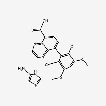 COc1cc(OC)c(Cl)c(-c2ccc(C(=O)O)c3nccnc23)c1Cl.Nc1nnc[nH]1